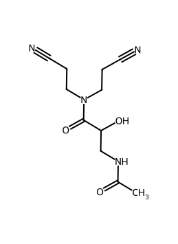 CC(=O)NCC(O)C(=O)N(CCC#N)CCC#N